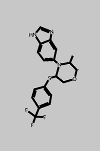 CC1[CH]OCC(Sc2ccc(C(F)(F)F)cc2)N1c1ccc2[nH]cnc2c1